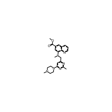 COC(=O)c1cc(N(C)Cc2cc(N3CCN(C)CC3)nc(C)n2)c2ncccc2c1